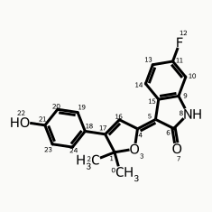 CC1(C)OC(=C2C(=O)Nc3cc(F)ccc32)C=C1c1ccc(O)cc1